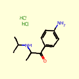 CC(C)NC(C)C(=O)c1ccc(N)cc1.Cl.Cl